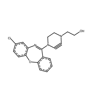 OCCN1C#CN(C2=Nc3cc(Cl)ccc3Oc3ccccc32)CC1